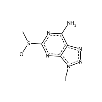 C[S+]([O-])c1nc(N)c2nnn(I)c2n1